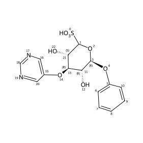 O=S(=O)(O)C1O[C@@H](Oc2ccccc2)[C@H](O)[C@@H](Oc2cncnc2)[C@@H]1O